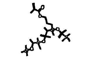 C=C(C)C(=O)OCCC[Si](C)(OC(C)(C)[Si](C)(C)C)C(C)C(C)(C)O[Si](C)(C)C(C)O[Si](C)(C)C